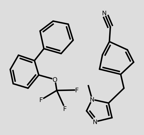 Cn1cncc1Cc1ccc(C#N)cc1.FC(F)(F)Oc1ccccc1-c1ccccc1